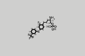 C[C@@](N)(CCCc1ccc(Sc2cccc(C(F)(F)F)c2)cc1F)COP(=O)(O)O